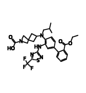 CCOC(=O)c1ccccc1-c1ccc(N(CC(C)C)C2CC3(C2)CN(C(=O)O)C3)c(Nc2nsc(C(F)(F)F)n2)c1